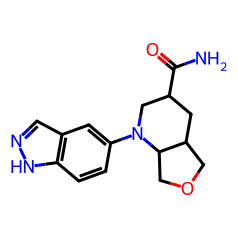 NC(=O)C1CC2COCC2N(c2ccc3[nH]ncc3c2)C1